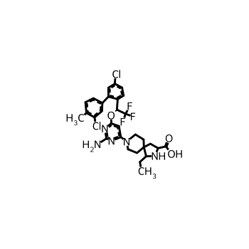 CCC1NC(C(=O)O)CC12CCN(c1cc(O[C@H](c3ccc(Cl)cc3-c3ccc(C)c(Cl)c3)C(F)(F)F)nc(N)n1)CC2